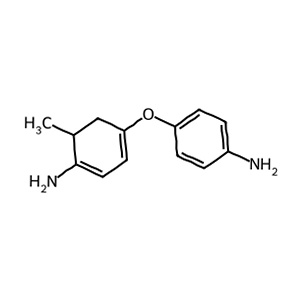 CC1CC(Oc2ccc(N)cc2)=CC=C1N